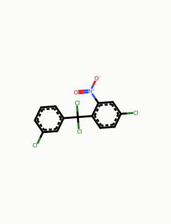 O=[N+]([O-])c1cc(Cl)ccc1C(Cl)(Cl)c1cccc(Cl)c1